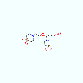 O=S1(=O)CCN(CCOC(CCO)N2CCS(=O)(=O)CC2)CC1